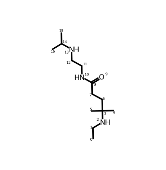 CCNC(C)(C)CCC(=O)NCCNC(C)C